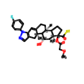 COCC(=O)O[C@]1(C(=O)S)CCC2[C@@H]3CCC4=Cc5c(cnn5-c5ccc(F)cc5)C[C@]4(C)C3[C@@H](O)C[C@@]21C